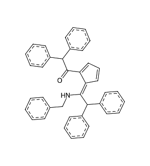 O=C(C1=CC=CC1=C(NCc1ccccc1)C(c1ccccc1)c1ccccc1)C(c1ccccc1)c1ccccc1